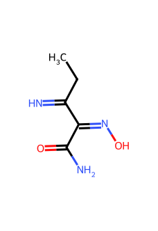 CCC(=N)C(=NO)C(N)=O